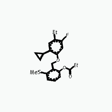 CCC(=O)Oc1cccc(SC)c1COc1cc(F)c(CC)cc1C1CC1